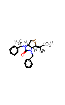 CCCC(C(=O)O)=C1SC[C@H]2[C@@H]1N(Cc1ccccc1)C(=O)N2[C@H](C)c1ccccc1